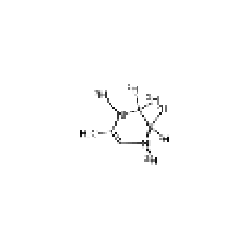 [2H]N1C=C(C)N([2H])C([2H])([2H])C1([2H])[2H]